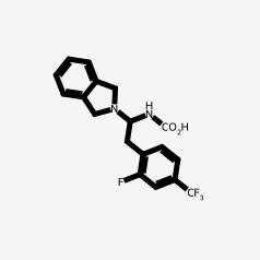 O=C(O)NC(Cc1ccc(C(F)(F)F)cc1F)N1Cc2ccccc2C1